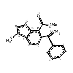 C=C(c1cccnc1)c1ccc2c(C)csc2c1C(=O)OC